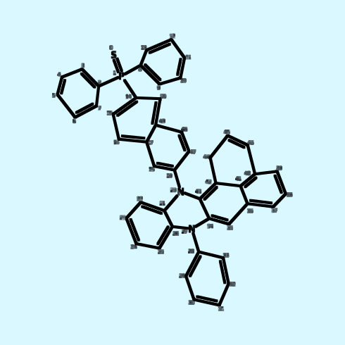 S=P(c1ccccc1)(c1ccccc1)c1ccc2cc(N3c4ccccc4N(c4ccccc4)c4cc5cccc6c5c(c43)CC=C6)ccc2c1